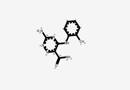 Cc1ccccc1Nc1nc(N)nnc1C(N)=O